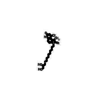 CCc1c(C)c2c3c(C(F)(F)F)cc(=O)[nH]c3ccc2n1CCCCCCCCCSCC(O)CO